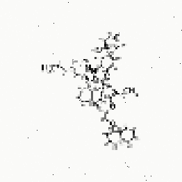 C=CCOCc1c(-c2cccc3c(CCCOc4cccc5ccccc45)c(C(=O)OCC)n(C)c23)c(COc2ccc(C3(O)CCOCC3)cc2)nn1C